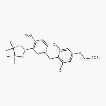 CCOC(=O)COc1cc(Cl)c(Cc2ccc(OC)c(B3OC(C)(C)C(C)(C)O3)c2)c(Cl)c1